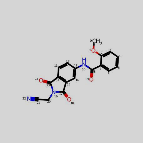 COc1ccccc1C(=O)Nc1ccc2c(c1)C(=O)N(CC#N)C2=O